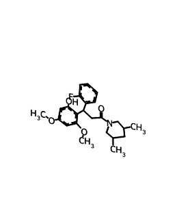 COc1cc(O)c(C(CC(=O)N2CC(C)CC(C)C2)c2ccccc2F)c(OC)c1